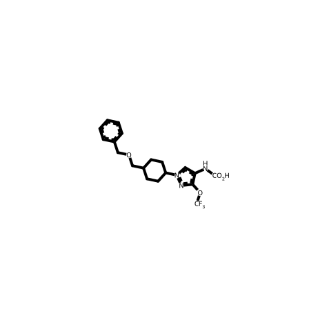 O=C(O)Nc1cn(C2CCC(COCc3ccccc3)CC2)nc1OC(F)(F)F